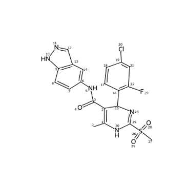 CC1=C(C(=O)Nc2ccc3[nH]ncc3c2)C(c2ccc(Cl)cc2F)N=C(S(C)(=O)=O)N1